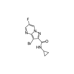 O=C(NC1CC1)c1nn2cc(F)cnc2c1Br